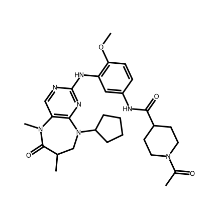 COc1ccc(NC(=O)C2CCN(C(C)=O)CC2)cc1Nc1ncc2c(n1)N(C1CCCC1)CC(C)C(=O)N2C